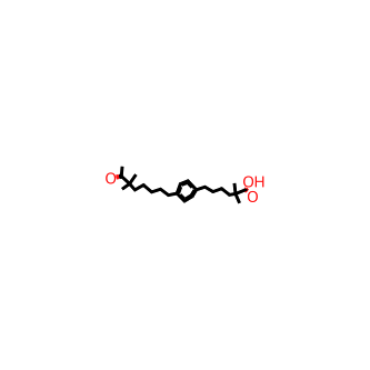 CC(=O)C(C)(C)CCCCCc1ccc(CCCCC(C)(C)C(=O)O)cc1